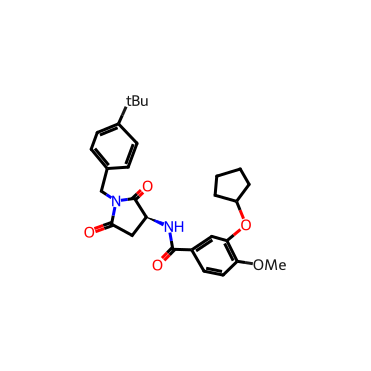 COc1ccc(C(=O)N[C@H]2CC(=O)N(Cc3ccc(C(C)(C)C)cc3)C2=O)cc1OC1CCCC1